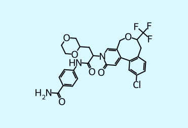 NC(=O)c1ccc(NC(=O)C(CC2COCCO2)n2cc3c(cc2=O)-c2cc(Cl)ccc2CC(C(F)(F)F)OC3)cc1